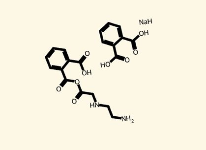 NCCNCC(=O)OC(=O)c1ccccc1C(=O)O.O=C(O)c1ccccc1C(=O)O.[NaH]